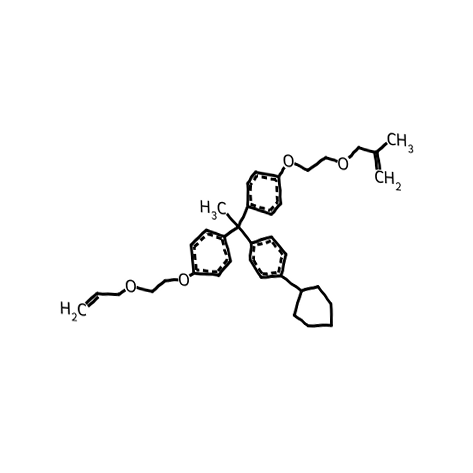 C=CCOCCOc1ccc(C(C)(c2ccc(OCCOCC(=C)C)cc2)c2ccc(C3CCCCC3)cc2)cc1